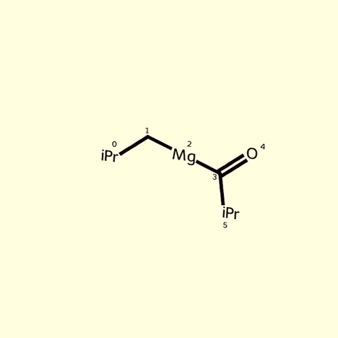 CC(C)[CH2][Mg][C](=O)C(C)C